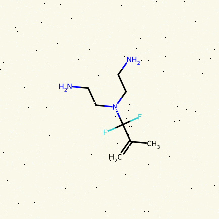 C=C(C)C(F)(F)N(CCN)CCN